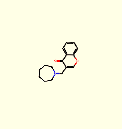 O=c1c(CN2CCCCCC2)coc2ccccc12